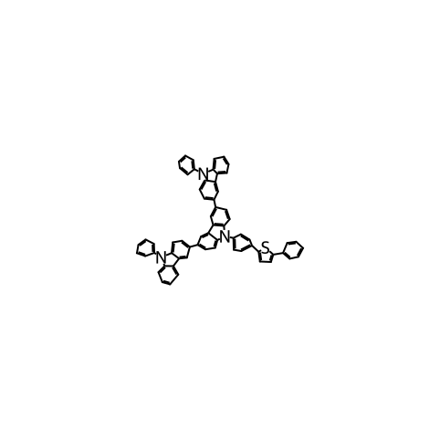 c1ccc(-c2ccc(-c3ccc(-n4c5ccc(-c6ccc7c(c6)c6ccccc6n7-c6ccccc6)cc5c5cc(-c6ccc7c(c6)c6ccccc6n7-c6ccccc6)ccc54)cc3)s2)cc1